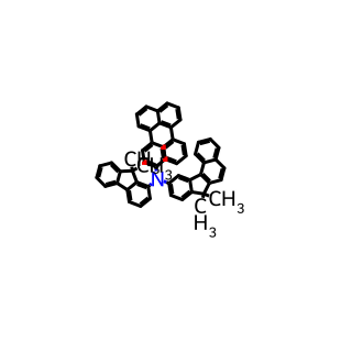 CC1(C)c2ccc(N(c3ccc(-c4cccc5cccc(-c6ccccc6)c45)cc3)c3cccc4c3C(C)(C)c3ccccc3-4)cc2-c2c1ccc1ccccc21